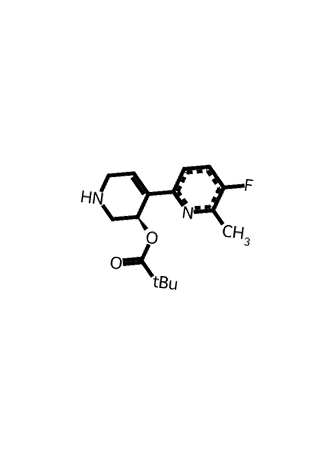 Cc1nc(C2=CCNC[C@@H]2OC(=O)C(C)(C)C)ccc1F